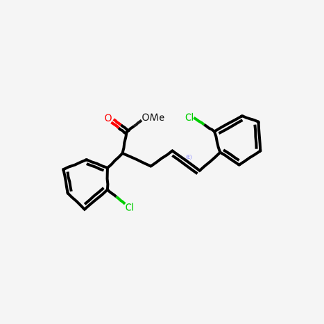 COC(=O)C(C/C=C/c1ccccc1Cl)c1ccccc1Cl